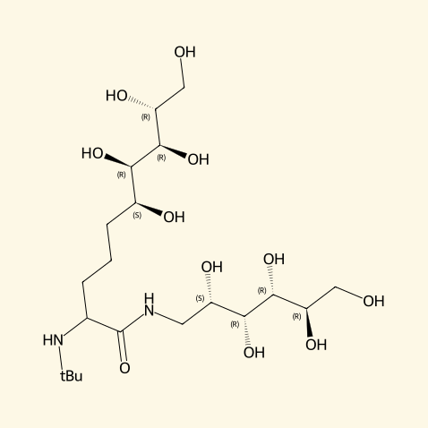 CC(C)(C)NC(CCC[C@H](O)[C@@H](O)[C@H](O)[C@H](O)CO)C(=O)NC[C@H](O)[C@@H](O)[C@H](O)[C@H](O)CO